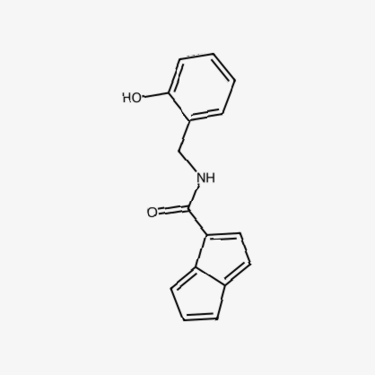 O=C(NCc1ccccc1O)C1=CC=C2C=CC=C21